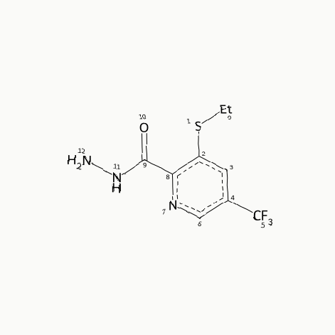 CCSc1cc(C(F)(F)F)cnc1C(=O)NN